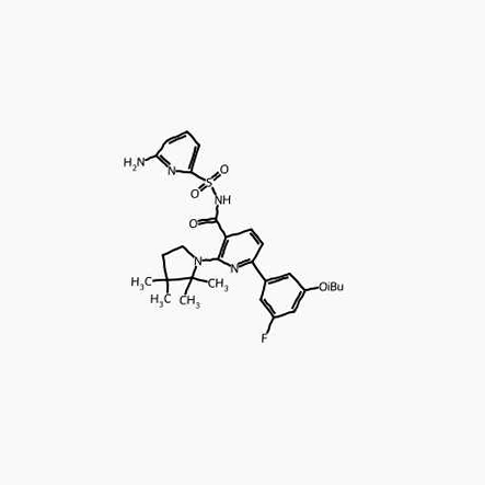 CC(C)COc1cc(F)cc(-c2ccc(C(=O)NS(=O)(=O)c3cccc(N)n3)c(N3CCC(C)(C)C3(C)C)n2)c1